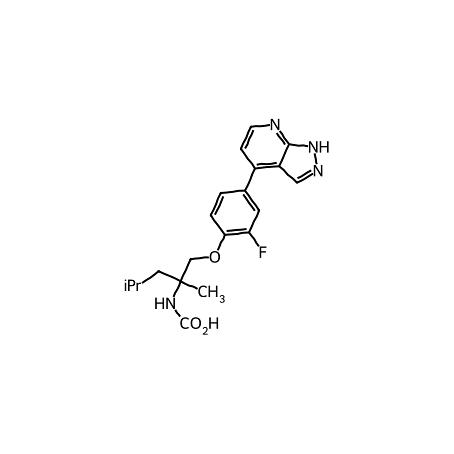 CC(C)CC(C)(COc1ccc(-c2ccnc3[nH]ncc23)cc1F)NC(=O)O